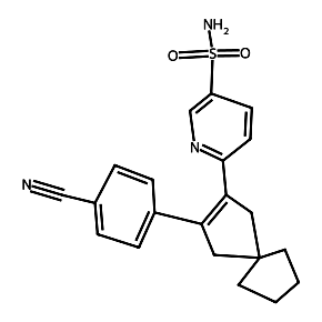 N#Cc1ccc(C2=C(c3ccc(S(N)(=O)=O)cn3)CC3(CCCC3)C2)cc1